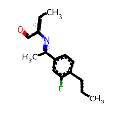 C/C=C(C=O)\N=C(/C)c1ccc(CCC)c(F)c1